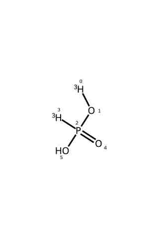 [3H]OP([3H])(=O)O